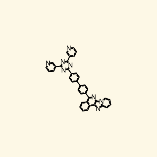 c1cncc(-c2nc(-c3ccc(-c4ccc(-c5nc6c(nc7ccccn76)c6ccccc56)cc4)cc3)nc(-c3cccnc3)n2)c1